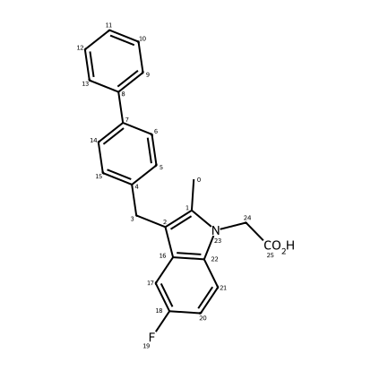 Cc1c(Cc2ccc(-c3ccccc3)cc2)c2cc(F)ccc2n1CC(=O)O